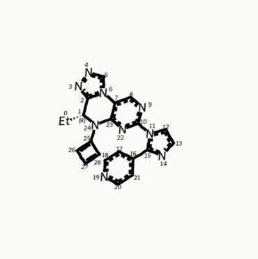 CC[C@@H]1c2nncn2-c2cnc(-n3ccnc3-c3ccncc3)nc2N1C1=CC=C1